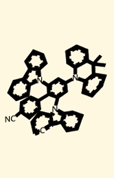 CC1(C)c2ccccc2N(c2cc(-n3c4ccccc4c4ccccc43)c(-c3ccc(C#N)cc3)c(-n3c4ccccc4c4ccccc43)c2)c2ccccc21